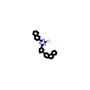 Clc1nc(-c2cccc(-c3ccc4ccc5ccccc5c4c3)c2)nc(-c2ccc3ccccc3c2)n1